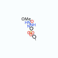 COC(=O)Nc1nc2cc(S(=O)(=O)Oc3ccc(C)cc3)ccc2[nH]1